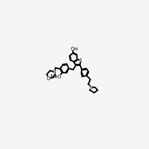 COc1cc(Cc2c(-c3ccc(CCN4CCCC4)cc3)sc3cc(O)ccc23)ccc1CN1CCOCC1